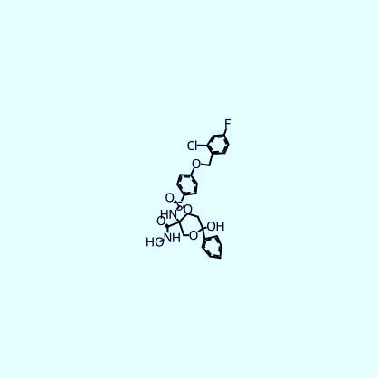 O=C(NO)C1(NS(=O)(=O)c2ccc(OCc3ccc(F)cc3Cl)cc2)CCC(O)(c2ccccc2)OC1